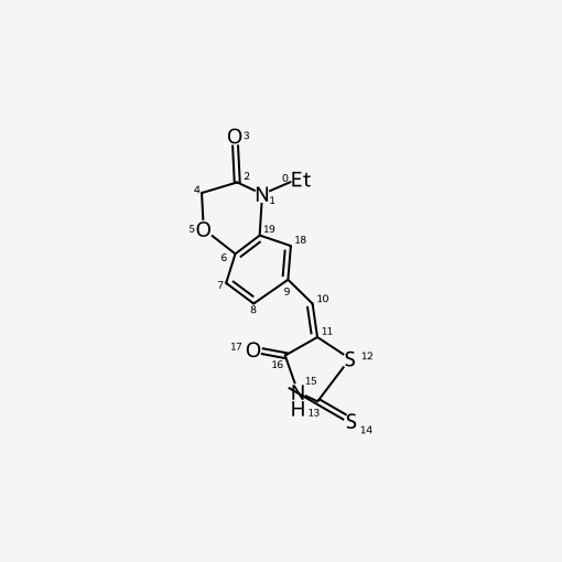 CCN1C(=O)COc2ccc(C=C3SC(=S)NC3=O)cc21